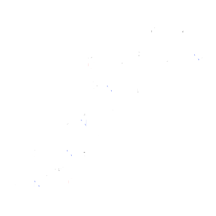 Cc1ccncc1-c1ccc(N2CC(N3CCN(C(=O)c4nccs4)CC3)CC2=O)cc1